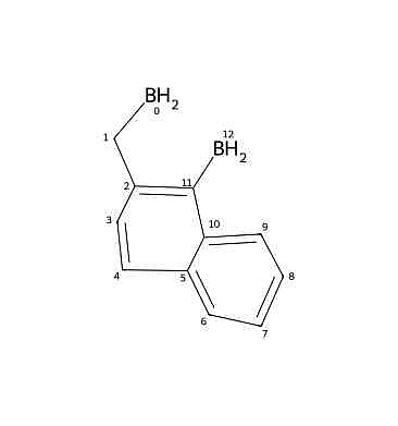 BCc1ccc2ccccc2c1B